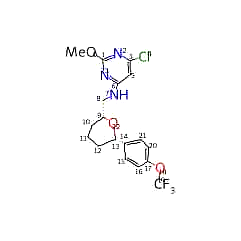 COc1nc(Cl)cc(NC[C@H]2CCC[C@@H](c3ccc(OC(F)(F)F)cc3)O2)n1